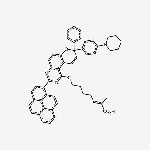 CC(=CCCCCOc1nc(-c2ccc3ccc4cccc5ccc2c3c45)nc2ccc3c(c12)C=CC(c1ccccc1)(c1ccc(N2CCCCC2)cc1)O3)C(=O)O